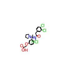 CN(C(=O)Cc1ccc(Cl)c(Cl)c1)C(C)(c1cccc(OCC(=O)O)c1)N1CCCC1.Cl